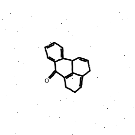 O=C1C2=C3C(=CCC2)CC=CC3c2ccccc21